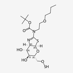 CCCCOCCN(C(=O)OC(C)(C)C)C1=N[C@@H]2[C@@H](O)[C@H](O)[C@@H](COS)O[C@@H]2S1